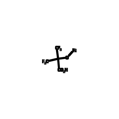 CCOC(C(=O)O)(C(F)(F)F)C(F)(F)F